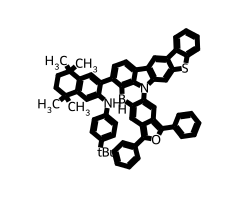 CC(C)(C)c1ccc(Nc2cc3c(cc2-c2ccc4c5cc6c(cc5n5c4c2Bc2cc4c(-c7ccccc7)oc(-c7ccccc7)c4cc2-5)sc2ccccc26)C(C)(C)CCC3(C)C)cc1